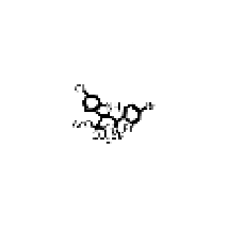 CCOC(=O)C(OC(C)=O)(C(=O)OCC)c1c(C(=O)c2ccc(Br)cc2)[nH]c2cc(Cl)ccc12